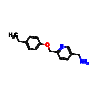 CCc1ccc(OCc2ccc(CN)cn2)cc1